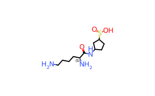 NCCCC[C@H](N)C(=O)NC1CCC(S(=O)O)C1